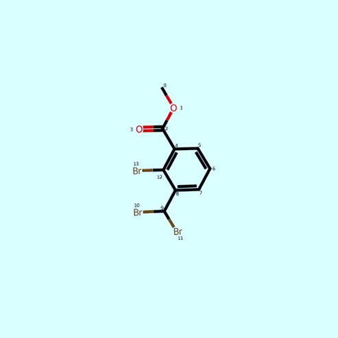 COC(=O)c1cccc(C(Br)Br)c1Br